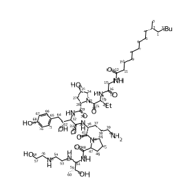 CCC(C)CC(C)CCCCCCCCC(=O)NCC(=O)NC(CC)C(=O)N1C[C@H](O)CC1C(=O)NC(C(=O)NC(CCCN)C(=O)N1CCCC1C(=O)NC(NCCNCCO)[C@@H](C)O)[C@H](O)Cc1ccc(O)cc1